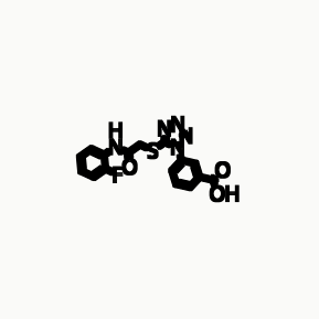 O=C(CSc1nnnn1-c1cccc(C(=O)O)c1)Nc1ccccc1F